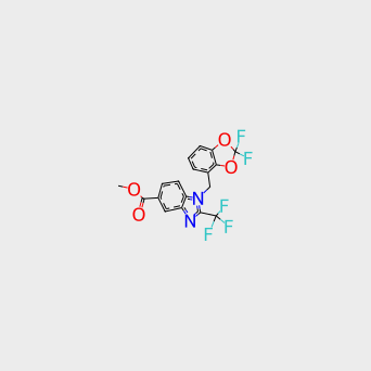 COC(=O)c1ccc2c(c1)nc(C(F)(F)F)n2Cc1cccc2c1OC(F)(F)O2